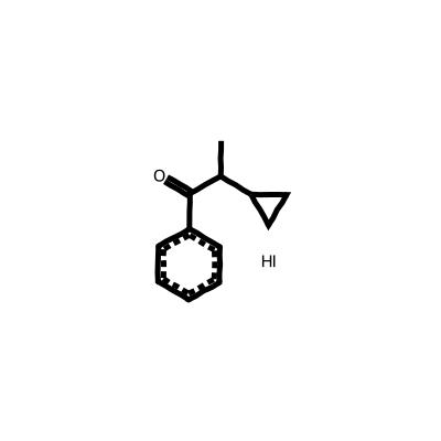 CC(C(=O)c1ccccc1)C1CC1.I